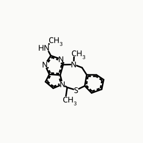 CNc1nc2c3c(ccn3C(C)Sc3ccccc3CN2C)n1